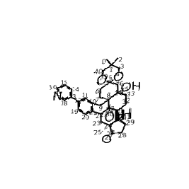 CC1(C)COC2(CC[C@@]34Cc5cc(-c6cccnc6)ccc5C5C[C@]6(C)C(=O)CC[C@H]6[C@H](CC[C@@]3(O)C2)[C@]54O)OC1